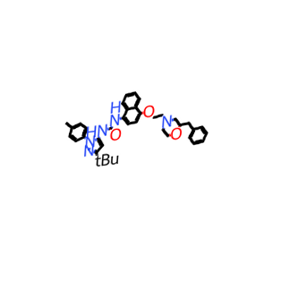 Cc1ccc(-n2nc(C(C)(C)C)cc2NC(=O)Nc2ccc(OCCN3CCOC(Cc4ccccc4)C3)c3ccccc23)cc1